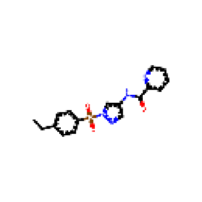 CCc1ccc(S(=O)(=O)n2cc(NC(=O)c3ccccn3)cn2)cc1